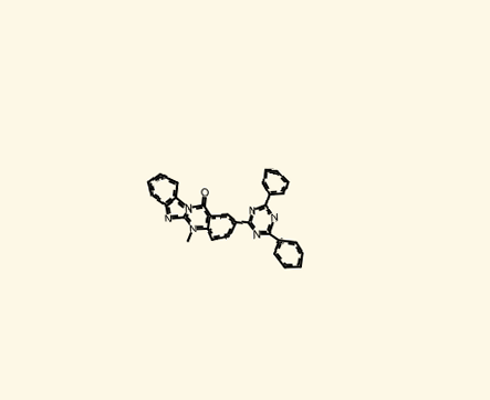 Cn1c2ccc(-c3nc(-c4ccccc4)nc(-c4ccccc4)n3)cc2c(=O)n2c3ccccc3nc12